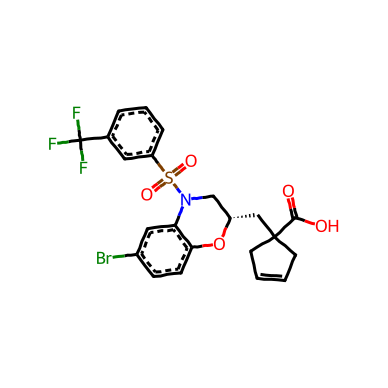 O=C(O)C1(C[C@H]2CN(S(=O)(=O)c3cccc(C(F)(F)F)c3)c3cc(Br)ccc3O2)CC=CC1